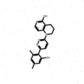 Cc1cc(C)c(-c2ccc(N3CCCc4c3ccnc4O)nn2)c(O)c1